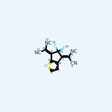 [C-]#[N+]/C(C#N)=C1/c2ccsc2/C(=C(\C#N)[N+]#[C-])C1(F)F